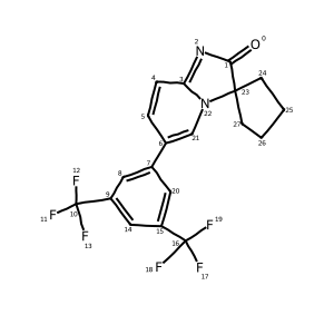 O=C1N=C2C=CC(c3cc(C(F)(F)F)cc(C(F)(F)F)c3)=CN2C12CCCC2